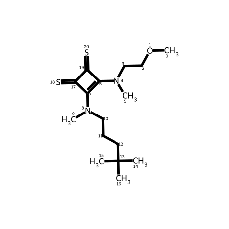 COCCN(C)c1c(N(C)CCCC(C)(C)C)c(=S)c1=S